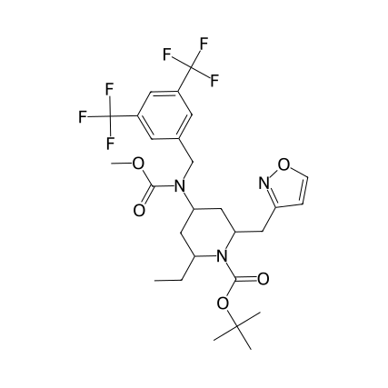 CCC1CC(N(Cc2cc(C(F)(F)F)cc(C(F)(F)F)c2)C(=O)OC)CC(Cc2ccon2)N1C(=O)OC(C)(C)C